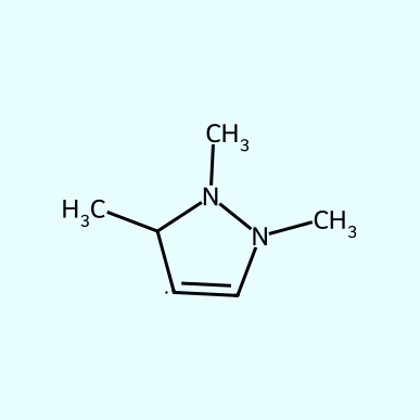 CC1[C]=CN(C)N1C